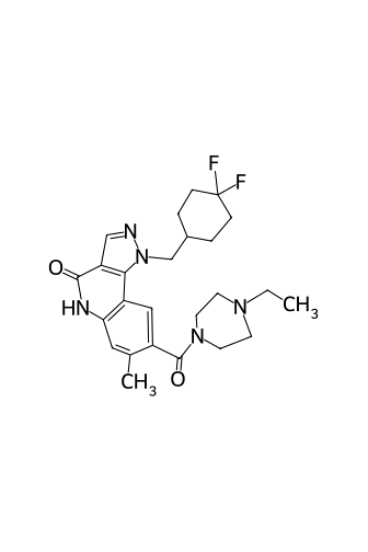 CCN1CCN(C(=O)c2cc3c(cc2C)[nH]c(=O)c2cnn(CC4CCC(F)(F)CC4)c23)CC1